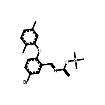 C=C(/N=C/c1cc(Br)ccc1Oc1cc(C)ccc1C)O[Si](C)(C)C